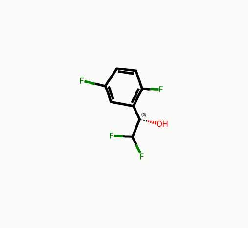 O[C@@H](c1cc(F)ccc1F)C(F)F